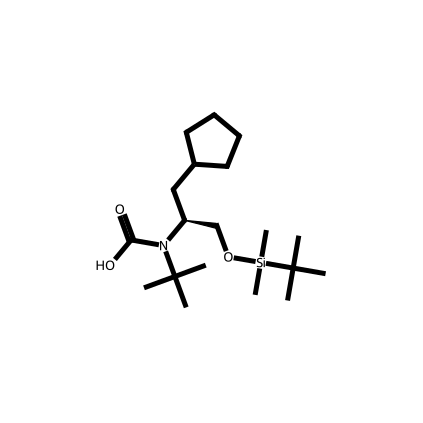 CC(C)(C)N(C(=O)O)[C@H](CO[Si](C)(C)C(C)(C)C)CC1CCCC1